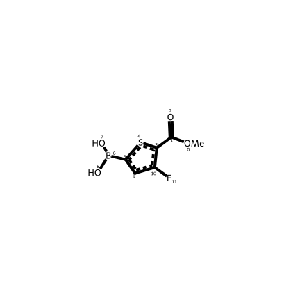 COC(=O)c1sc(B(O)O)cc1F